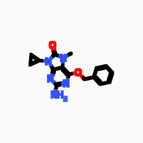 Cn1c(=O)n(C2CC2)c2nc(N)nc(OCc3ccccc3)c21